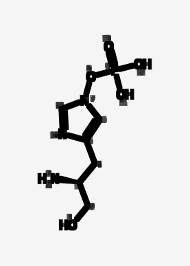 N[C@H](CO)Cc1cn(OP(=O)(O)O)cn1